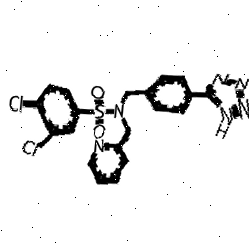 O=S(=O)(c1ccc(Cl)c(Cl)c1)N(Cc1ccc(-c2nnn[nH]2)cc1)Cc1ccccn1